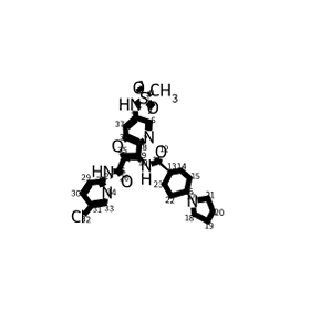 CS(=O)(=O)Nc1cnc2c(NC(=O)[C@H]3CC[C@H](N4CCCC4)CC3)c(C(=O)Nc3ccc(Cl)cn3)oc2c1